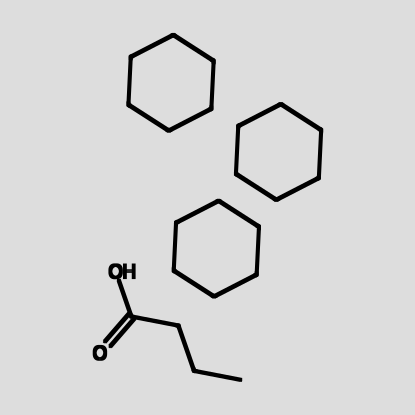 C1CCCCC1.C1CCCCC1.C1CCCCC1.CCCC(=O)O